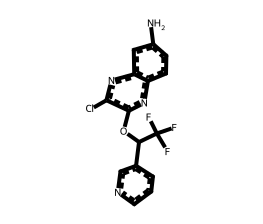 Nc1ccc2nc(OC(c3cccnc3)C(F)(F)F)c(Cl)nc2c1